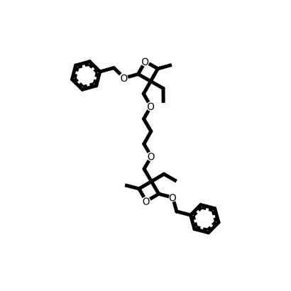 CCC1(COCCCOCC2(CC)C(C)OC2OCc2ccccc2)C(C)OC1OCc1ccccc1